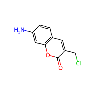 Nc1ccc2cc(CCl)c(=O)oc2c1